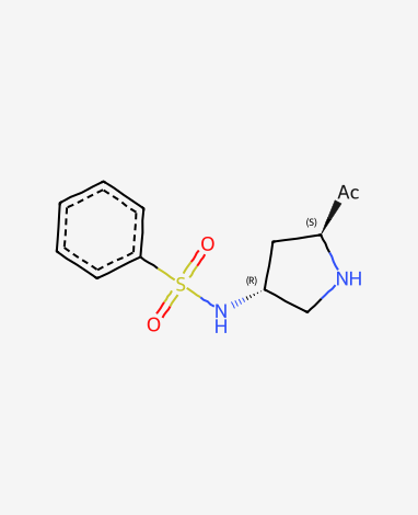 CC(=O)[C@@H]1C[C@@H](NS(=O)(=O)c2ccccc2)CN1